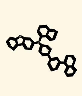 c1cc(-c2ccc(N(c3ccc4c(c3)oc3ccccc34)c3cccc4ccccc34)cc2)cc(-c2cccc3ccccc23)c1